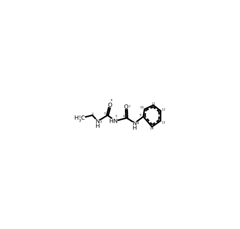 CCNC(=O)NC(=O)Nc1ccccc1